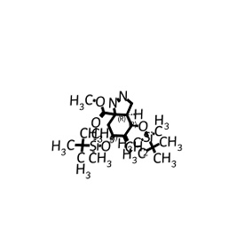 C=C1[C@H](O[Si](C)(C)C(C)(C)C)CC2(C(=O)OC)N=NC[C@H]2[C@H]1O[Si](C)(C)C(C)(C)C